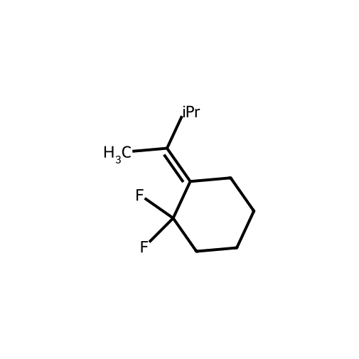 C/C(=C1/CCCCC1(F)F)C(C)C